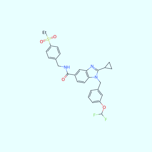 CCS(=O)(=O)c1ccc(CNC(=O)c2ccc3c(c2)nc(C2CC2)n3Cc2cccc(OC(F)F)c2)cc1